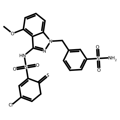 COc1cccc2c1c(NS(=O)(=O)C1=CC(Cl)=CCC1=S)nn2Cc1cccc(S(N)(=O)=O)c1